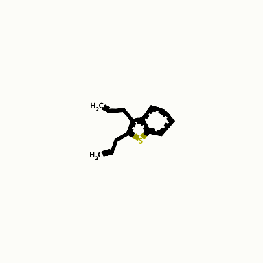 C=CCc1sc2ccccc2c1CC=C